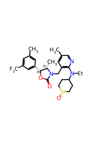 CCN(c1ncc(C)cc1CN1C(=O)O[C@H](c2cc(C)cc(C(F)(F)F)c2)[C@@H]1C)C1CC[S+]([O-])CC1